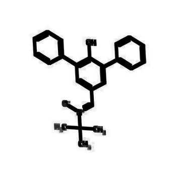 CC(C)(C)[N+]([O-])=Cc1cc(-c2ccccc2)c(O)c(-c2ccccc2)c1